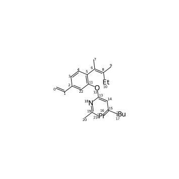 C=Cc1ccc(/C(C)=C(/C)CC)c(OC(=C/C(=C)C(C)CC)/N=C(/C)C(C)C)c1